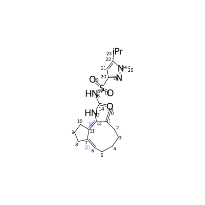 C=C1CCCC/C=C2/CCC/C2=C/1NC(=O)NS(=O)(=O)c1cc(C(C)C)n(C)n1